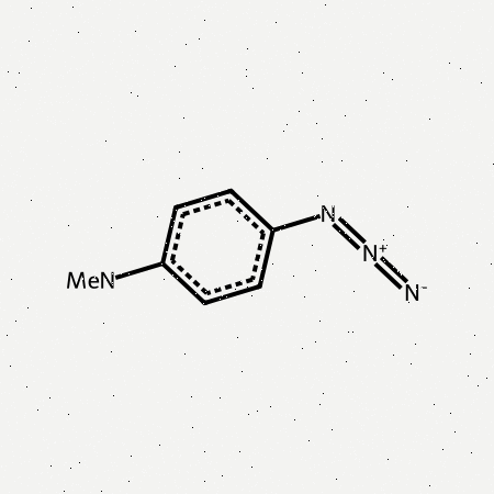 CNc1ccc(N=[N+]=[N-])cc1